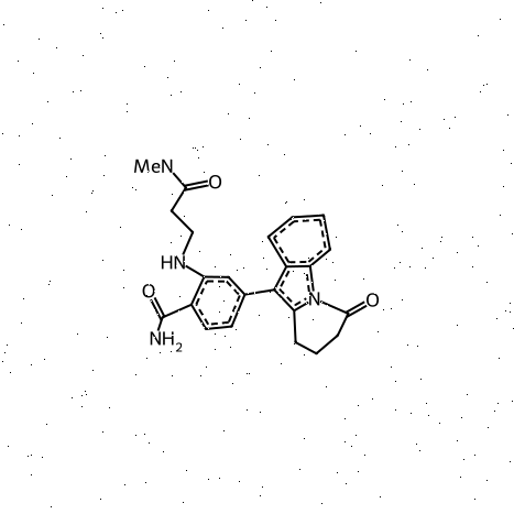 CNC(=O)CCNc1cc(-c2c3n(c4ccccc24)C(=O)CCC3)ccc1C(N)=O